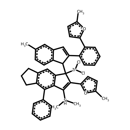 Cc1ccc2c(c1)C=C(c1ccccc1-c1ccc(C)o1)C2[C]1([Zr]([Cl])[Cl])C(c2ccc(C)o2)=C([SiH](C)C)c2c1cc1c(c2-c2ccccc2)CCC1